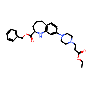 CCOC(=O)CCN1CCN(c2ccc3c(c2)NC(C(=O)OCc2ccccc2)CCC3)CC1